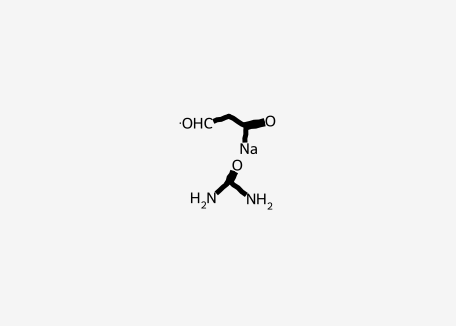 NC(N)=O.O=[C]C[C](=O)[Na]